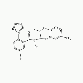 CCC(C(C)Oc1ccc(C(F)(F)F)cn1)N(CC)C(=O)c1cc(F)ccc1-n1nccn1